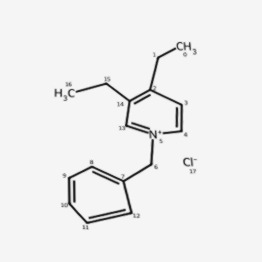 CCc1cc[n+](Cc2ccccc2)cc1CC.[Cl-]